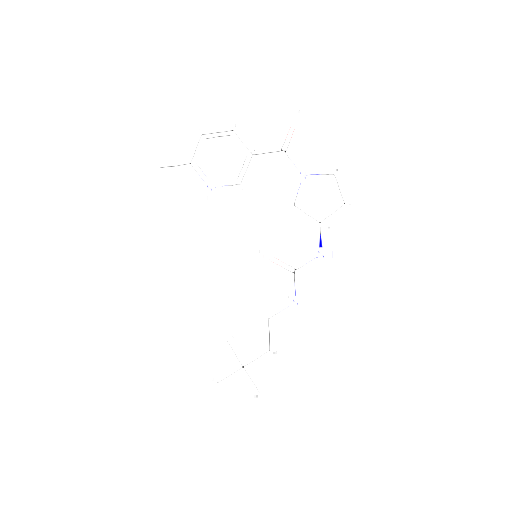 Cc1ccc(C(=O)N2CC[C@@H](NC(=O)NCCC(C)(C)C)C2)cn1